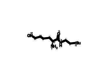 CC(C)(C)CCNC(=O)[C@H](N)CCCCN=O